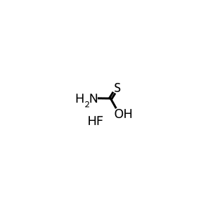 F.NC(O)=S